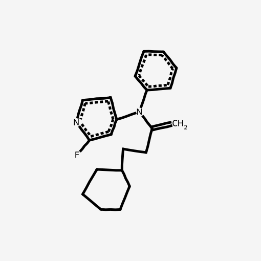 C=C(CCC1CCCCC1)N(c1ccccc1)c1ccnc(F)c1